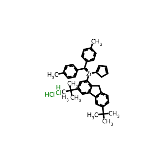 Cc1ccc([C](c2ccc(C)cc2)=[Zr]([C]2=CC=CC2)[c]2cc(C(C)(C)C)cc3c2Cc2ccc(C(C)(C)C)cc2-3)cc1.Cl.Cl